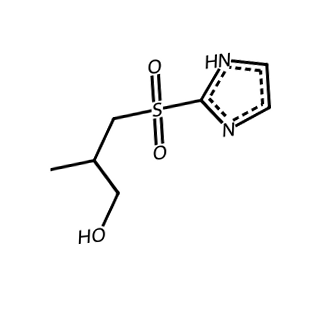 CC(CO)CS(=O)(=O)c1ncc[nH]1